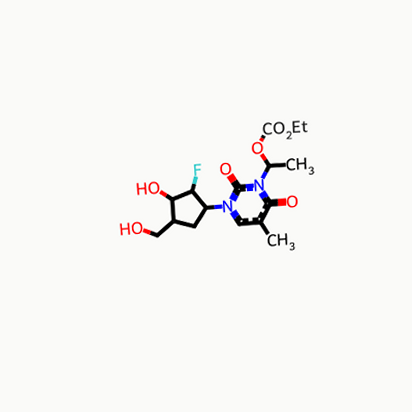 CCOC(=O)OC(C)n1c(=O)c(C)cn(C2CC(CO)C(O)C2F)c1=O